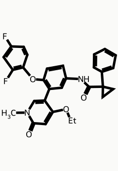 CCOc1cc(=O)n(C)cc1-c1cc(NC(=O)C2(c3ccccc3)CC2)ccc1Oc1ccc(F)cc1F